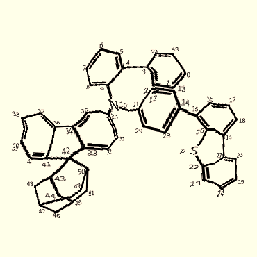 c1ccc(-c2ccccc2N(c2ccc(-c3cccc4c3sc3ccccc34)cc2)c2ccc3c(c2)-c2ccccc2C32C3CC4CC(C3)CC2C4)cc1